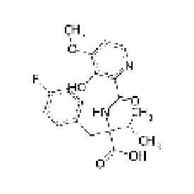 COc1ccnc(C(=O)NC(Cc2ccc(F)cc2)(C(=O)O)C(C)C)c1O